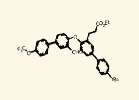 CCOC(=O)CCc1cc(-c2ccc(C(C)(C)C)cc2)ccc1Oc1ccc(-c2ccc(OC(F)(F)F)cc2)cc1C=O